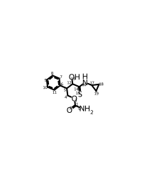 NC(=O)OCC(c1ccccc1)C(O)C(=S)NC1CC1